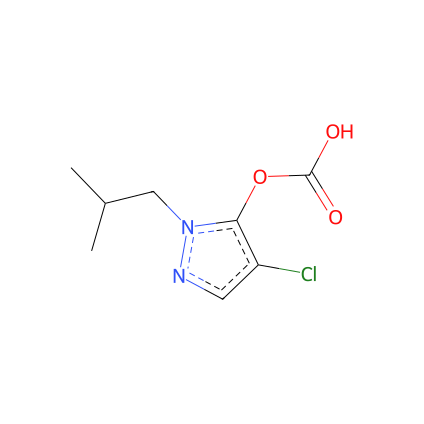 CC(C)Cn1ncc(Cl)c1OC(=O)O